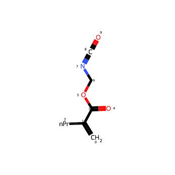 C=C(CCC)C(=O)OCN=C=O